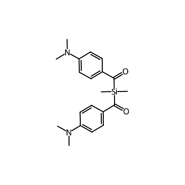 CN(C)c1ccc(C(=O)[Si](C)(C)C(=O)c2ccc(N(C)C)cc2)cc1